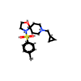 CC(=O)c1ccc(S(=O)(=O)N2CCOC23CCN(CC2CC2)CC3)cc1